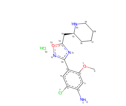 COc1cc(N)c(Cl)cc1-c1noc(C[C@@H]2CCCCN2)n1.Cl